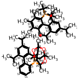 CC(C)c1cc(C(C)C)c(-c2ccccc2P2C3(C)CC4(C)OC(C)(CC2(C)O4)O3)c(C(C)C)c1.Cc1c(C)c(C)c(P(C(C)(C)C)C(C)(C)C)c(-c2c(C(C)C)cc(C(C)C)cc2C(C)C)c1C